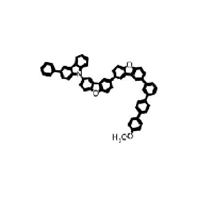 COc1ccc(-c2ccc(-c3cccc(-c4ccc5oc6ccc(-c7ccc8oc9ccc(-n%10c%11ccccc%11c%11cc(-c%12ccccc%12)ccc%11%10)cc9c8c7)cc6c5c4)c3)cc2)cc1